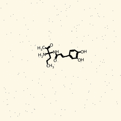 CCCC(N)(NC(=O)/C=C/c1ccc(O)c(O)c1)C(C)=O